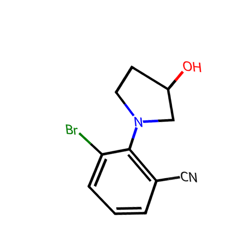 N#Cc1cccc(Br)c1N1CCC(O)C1